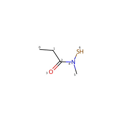 CCC(=O)N(C)S